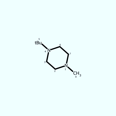 CN1CCN(C(C)(C)C)CC1